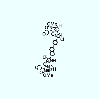 COC(=O)N[C@H](C(=O)N1[C@@H]2C[C@@H]2C[C@H]1c1nc(Cl)c(-c2ccc(-c3ccc4cc(-c5[nH]c([C@@H]6C[C@H]7C[C@H]7N6C(=O)[C@@H](NC(=O)OC)C6CCOCC6)nc5Cl)ccc4c3)cc2)[nH]1)C1CCOCC1